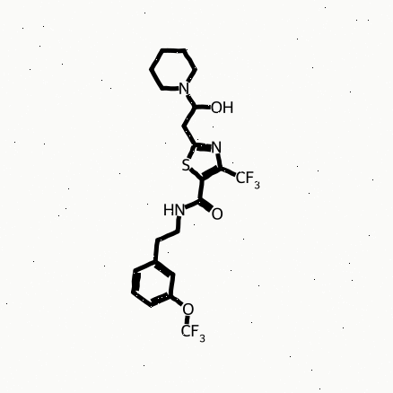 O=C(NCCc1cccc(OC(F)(F)F)c1)c1sc(CC(O)N2CCCCC2)nc1C(F)(F)F